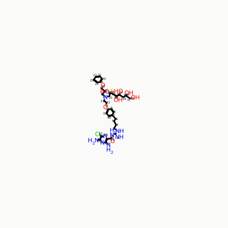 N=C(NCCCCc1ccc(OCCN(CCCOc2ccccc2)C[C@]2(O)SC2[C@@H](O)[C@H](O)C[C@H](O)CO)cc1)NC(=O)c1nc(Cl)c(N)nc1N